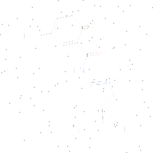 CC1=CCC(=S)C(C(=O)Nc2ncc(C(C)C)s2)=C1